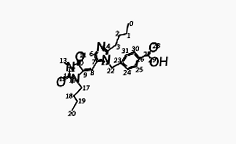 CCCCc1ncc(/C=C2\C(=O)N(C)C(=O)N2CCCC)n1Cc1ccc(C(=O)O)cc1